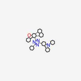 c1ccc(-c2nc(-c3ccc4c(c3)c3ccccc3n4-c3ccccc3)nc(-c3c4c(cc5oc6ccccc6c35)-c3cccc5cccc-4c35)n2)cc1